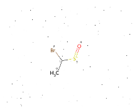 CC(Br)[S+]=O